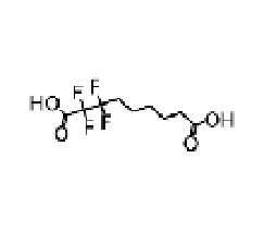 O=C(O)CCCCCC(F)(F)C(F)(F)C(=O)O